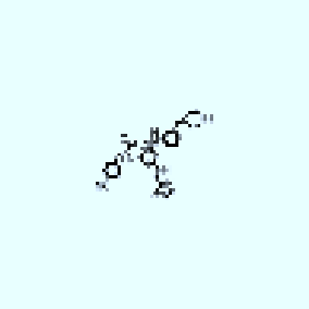 COC(=O)C(Cc1ccc(C#N)cc1)Nc1nc(NCc2nccn2C)nc(Nc2cccc(CN3CCNCC3)c2)n1